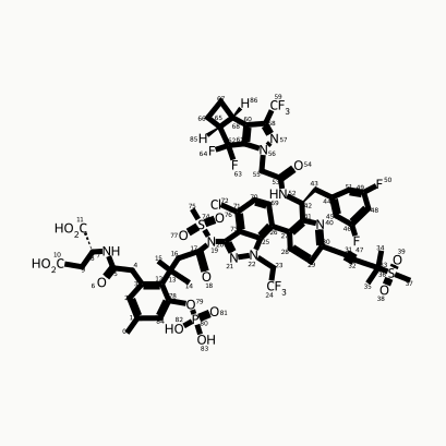 Cc1cc(CC(=O)N[C@H](CC(=O)O)C(=O)O)c(C(C)(C)CC(=O)N(c2nn(CC(F)(F)F)c3c(-c4ccc(C#CC(C)(C)S(C)(=O)=O)nc4[C@H](Cc4cc(F)cc(F)c4)NC(=O)Cn4nc(C(F)(F)F)c5c4C(F)(F)[C@@H]4CC[C@H]54)ccc(Cl)c23)S(C)(=O)=O)c(OP(=O)(O)O)c1